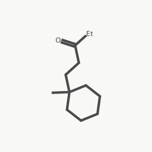 CCC(=O)CCC1(C)CCCCC1